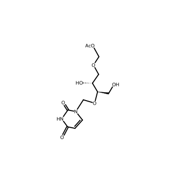 CC(=O)OCOC[C@@H](O)[C@@H](CO)OCn1ccc(=O)[nH]c1=O